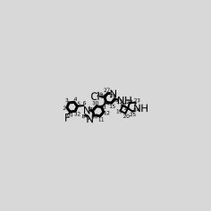 Fc1cccc(Cn2cnc3ccc(-c4cc(NC5CCC56CCNC6)ncc4Cl)cc32)c1